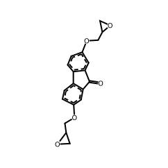 O=C1c2cc(OCC3CO3)ccc2-c2ccc(OCC3CO3)cc21